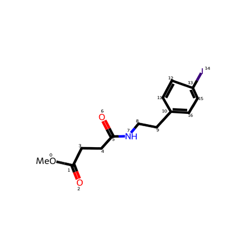 COC(=O)CCC(=O)NCCc1ccc(I)cc1